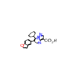 O=C(O)c1cnn2c(C3CCCCC3)c(-c3ccc4occc4c3)cnc12